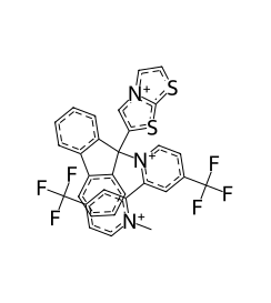 C[n+]1ccc(C(F)(F)F)cc1-c1cc(C(F)(F)F)cc[n+]1C1(c2c[n+]3ccsc3s2)c2ccccc2-c2ccccc21